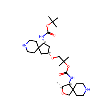 C[C@H]1OCC2(CCNCC2)[C@@H]1NC(=O)OC(C)(C)CO[C@H]1C[C@@H](NC(=O)OC(C)(C)C)C2(CCNCC2)C1